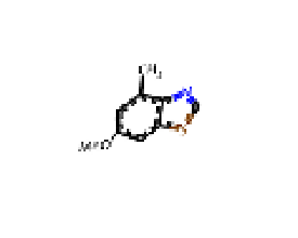 COc1cc(C)c2ncsc2c1